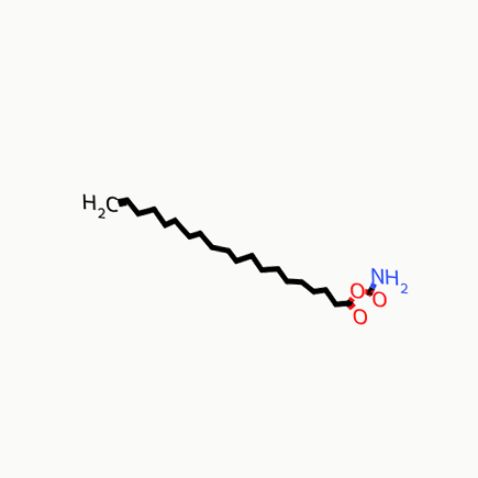 C=CCCCCCCCCCCCCCCCCCC(=O)OC(N)=O